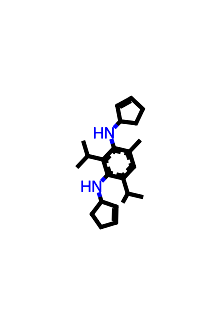 Cc1cc(C(C)C)c(NC2C=CCC2)c(C(C)C)c1NC1C=CCC1